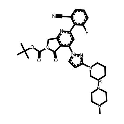 CN1CCN([C@@H]2CCCN(c3ccn(-c4cc(-c5c(F)cccc5C#N)nc5c4C(=O)N(C(=O)OC(C)(C)C)C5)n3)C2)CC1